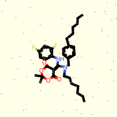 CCCCCCCN(Cc1ccc(CCCCCC)cc1)C(Nc1ccc(F)cc1F)=C1C(=O)OC(C)(C)OC1=O